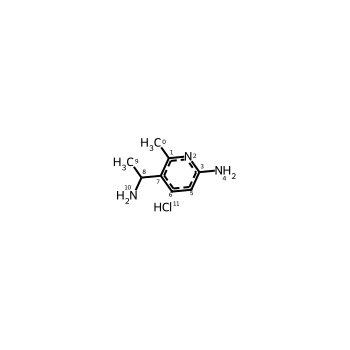 Cc1nc(N)ccc1C(C)N.Cl